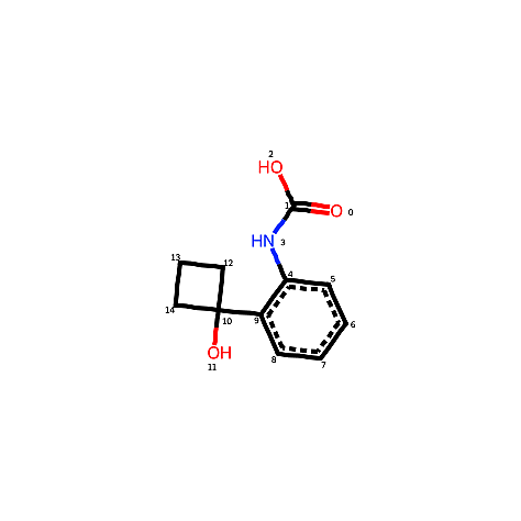 O=C(O)Nc1ccccc1C1(O)CCC1